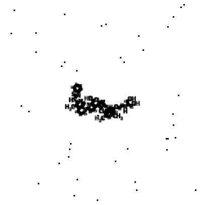 Cc1c(Nc2nc3ccccc3s2)nnc2c1CCCN2c1ccc(-c2cnn(C[C@]34C[C@]5(C)C[C@](C)(C3)C[C@@](OCCNC(CO)CO)(C5)C4)c2C)c(C(=O)O)n1